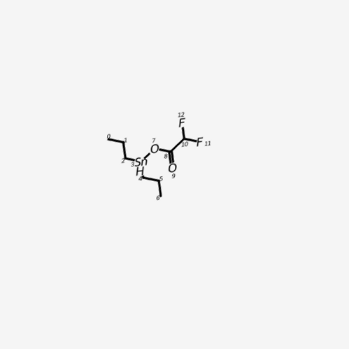 CC[CH2][SnH]([CH2]CC)[O]C(=O)C(F)F